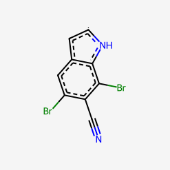 N#Cc1c(Br)cc2c[c][nH]c2c1Br